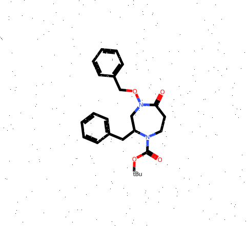 CC(C)(C)OC(=O)N1CCC(=O)N(OCc2ccccc2)CC1Cc1ccccc1